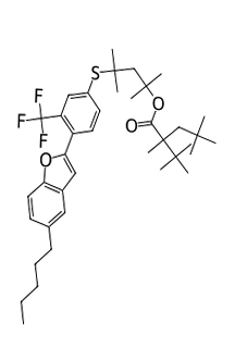 CCCCCc1ccc2oc(-c3ccc(SC(C)(C)CC(C)(C)OC(=O)C(C)(CC(C)(C)C)C(C)(C)C)cc3C(F)(F)F)cc2c1